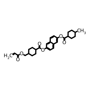 C=CC(=O)OCC1CCC(C(=O)Oc2ccc3cc(OC(=O)C4CCC(C)CC4)ccc3c2)CC1